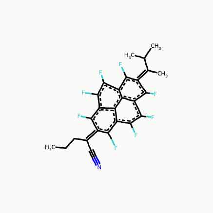 CCCC(C#N)=c1c(F)c2c(F)c(F)c3c(F)c(=C(C)C(C)C)c(F)c4c(F)c(F)c(c1F)c2c34